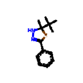 CC(C)(C)C1(C)NN=C(c2ccccc2)S1